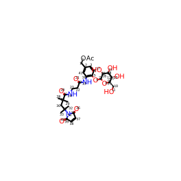 CC(=O)OCc1ccc(OC2O[C@H](CO)[C@@H](O)[C@H](O)[C@H]2O)c(NC(=O)CCNC(=O)C(C)(C)CC(C)(C)N2C(=O)C=CC2=O)c1